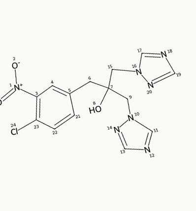 O=[N+]([O-])c1cc(CC(O)(Cn2cncn2)Cn2cncn2)ccc1Cl